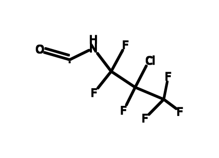 O=[C]NC(F)(F)C(F)(Cl)C(F)(F)F